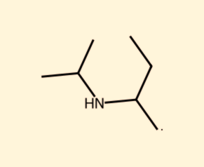 [CH2]C(CC)NC(C)C